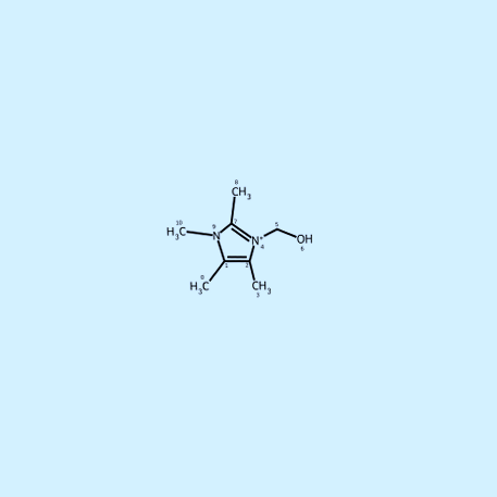 Cc1c(C)[n+](CO)c(C)n1C